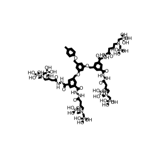 Cc1ccc(OCc2cc(OCc3cc(C(=O)NNC(=O)CCCN(C[PH](O)(O)O)C[PH](O)(O)O)cc(C(=O)NNC(=O)CCCN(C[PH](O)(O)O)C[PH](O)(O)O)c3)cc(OCc3cc(C(=O)NNC(=O)CCCN(C[PH](O)(O)O)C[PH](O)(O)O)cc(C(=O)NNC(=O)CCCN(C[PH](O)(O)O)C[PH](O)(O)O)c3)c2)cc1